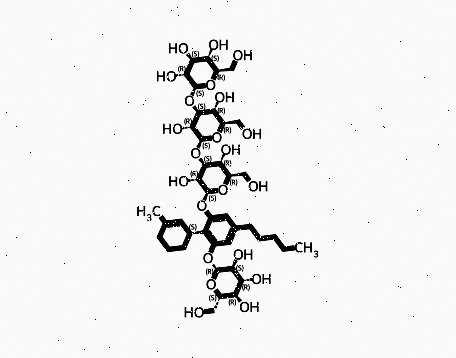 CCCCCc1cc(O[C@H]2O[C@@H](CO)[C@H](O)[C@@H](O)[C@@H]2O)c([C@@H]2C=C(C)CCC2)c(O[C@@H]2O[C@H](CO)[C@@H](O)[C@H](O[C@@H]3O[C@H](CO)[C@@H](O)[C@H](O[C@@H]4O[C@H](CO)[C@@H](O)[C@H](O)[C@H]4O)[C@H]3O)[C@H]2O)c1